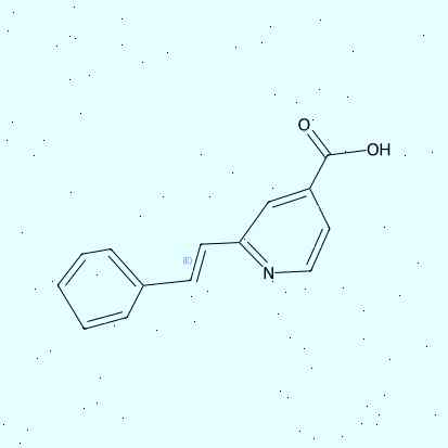 O=C(O)c1ccnc(/C=C/c2ccccc2)c1